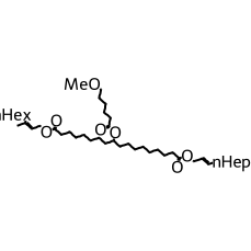 CCCCCCC/C=C/COC(=O)CCCCCCCCC(CCCCCCCC(=O)OC/C=C(/C)CCCCCC)OC(=O)CCCCCOC